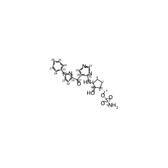 NS(=O)(=O)OC[C@H]1CCC(Nc2ncncc2C(=O)c2ccn(-c3ccccc3)n2)[C@@H]1O